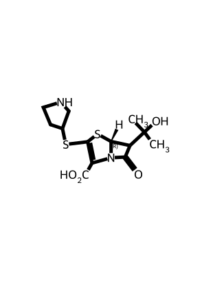 CC(C)(O)C1C(=O)N2C(C(=O)O)=C(SC3CCNC3)S[C@H]12